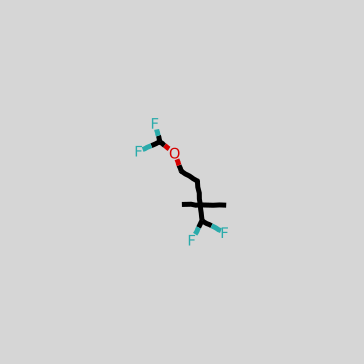 CC(C)(CCOC(F)F)C(F)F